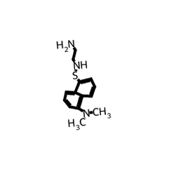 CN(C)c1cccc2c(SNCCN)cccc12